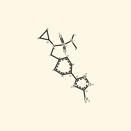 CN(C)S(=O)(=O)N(Cc1ccc(-c2noc(C(F)(F)F)n2)cc1)C1CC1